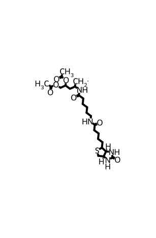 [CH2]C(CC(COC(C)=O)OC(C)=O)NC(=O)CCCCCNC(=O)CCCCC1SC[C@@H]2NC(=O)N[C@H]12